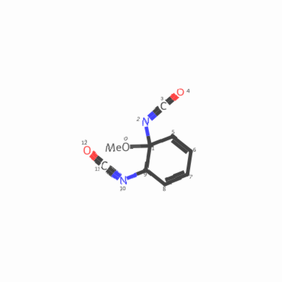 COC1(N=C=O)C=CC=CC1N=C=O